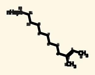 CC=C(C)CCCCCCCCCCCCCCC